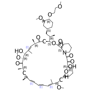 COCCO[C@@H]1CC[C@@H](C[C@@H](C)[C@@H]2CC(=O)[C@H](C)/C=C(\C)[C@@H](O)[C@@H](OC)C(=O)[C@H](C)C[C@H](C)/C=C/C=C/C=C(\C)[C@@H](OC)C[C@@H]3CC[C@@H](C)[C@@](O)(O3)C(=O)C(=O)N3CCCC[C@H]3C(=O)O2)C[C@H]1OC